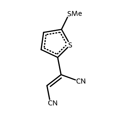 CSc1ccc(/C(C#N)=C/C#N)s1